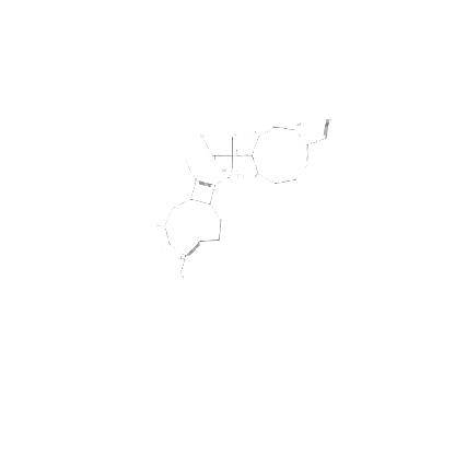 C=CC1CCCCC(C(C)(BC2=C(C)C3CCC/C(C)=C/CCC23)CC)CCC1